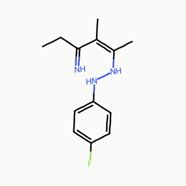 CCC(=N)C(C)=C(C)NNc1ccc(F)cc1